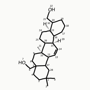 CC1(C)CCC2(CO)CC[C@]3(C)C(C=C[C@@H]4C5CCCC(CO)[C@@H]5CCC43)C2C1